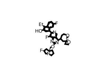 CCc1c(O)cc(-c2ncc3c(C4CCOCC5(CCO5)C4)nc(OC[C@@]45CCCN4C[C@H](F)C5)nc3c2F)c2cc(F)ccc12